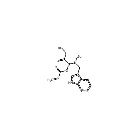 C=NC(=O)ON(C(=O)OC(C)(C)C)N(Cc1c[nH]c2ncccc12)C(C)(C)C